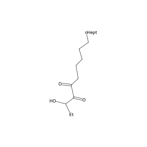 CCCCCCCCCCCCC(=O)C(=O)C(O)CC